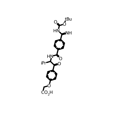 CC(C)C(NC(=O)c1ccc(C(=N)NC(=O)OC(C)(C)C)cc1)C(=O)c1ccc(OCC(=O)O)cc1